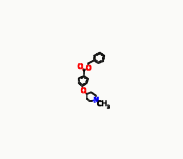 CN1CCC(Oc2ccc(C(=O)OCc3ccccc3)cc2)CC1